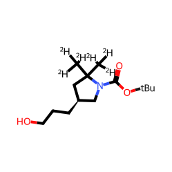 [2H]C([2H])([2H])C1(C([2H])([2H])[2H])C[C@H](CCCO)CN1C(=O)OC(C)(C)C